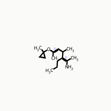 CCC/C(=C(/C)N)C(C)/C=C(\C)OC1(C)CC1